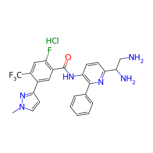 Cl.Cn1ccc(-c2cc(C(=O)Nc3ccc(C(N)CN)nc3-c3ccccc3)c(F)cc2C(F)(F)F)n1